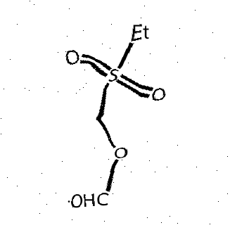 CCS(=O)(=O)CO[C]=O